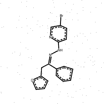 Brc1ccc(NN=C(Cc2ccco2)c2ccccc2)nc1